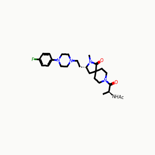 CC(=O)N[C@@H](C)C(=O)N1CCC2(CC1)C[C@H](CCN1CCN(c3ccc(F)cc3)CC1)N(C)C2=O